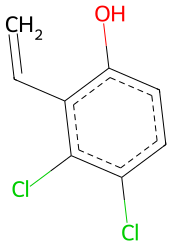 C=Cc1c(O)ccc(Cl)c1Cl